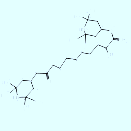 C=C(CCCCCCCC(C)C(=C)OC1CC(C)(C)NC(C)(C)C1)CC1CC(C)(C)NC(C)(C)C1